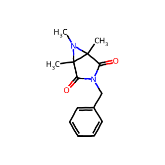 CN1C2(C)C(=O)N(Cc3ccccc3)C(=O)C12C